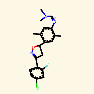 Cc1cc(C2CC(c3ccc(Cl)cc3F)=NO2)c(C)cc1/N=C\N(C)C